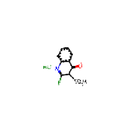 Cl.O=C1c2ccccc2N=C(F)C1S(=O)(=O)O